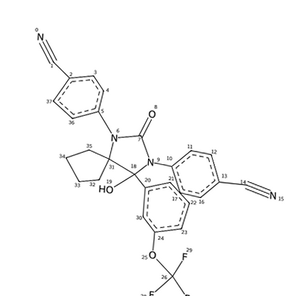 N#Cc1ccc(N2C(=O)N(c3ccc(C#N)cc3)C(O)(c3cccc(OC(F)(F)F)c3)C23CCCC3)cc1